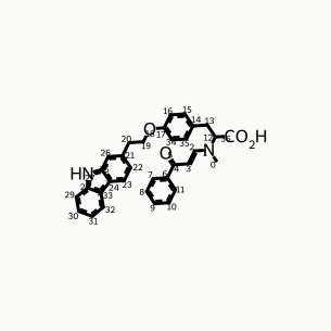 CN(C=CC(=O)c1ccccc1)C(Cc1ccc(OCCc2ccc3c(c2)[nH]c2ccccc23)cc1)C(=O)O